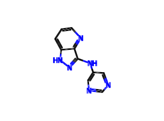 c1cnc2c(Nc3cncnc3)n[nH]c2c1